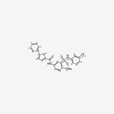 COc1ncc(NC(=O)c2cnc(-c3ccccc3)o2)cc1S(=O)(=O)Nc1cccc(C(F)(F)F)n1